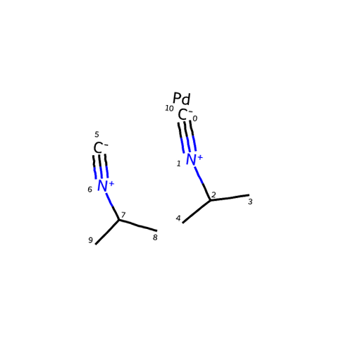 [C-]#[N+]C(C)C.[C-]#[N+]C(C)C.[Pd]